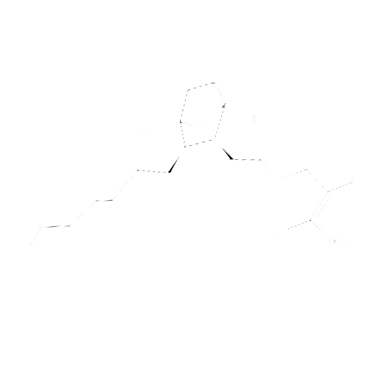 CCCCC(C)=C(CC)CSCC[C@H]1[C@@H](CCCCCCC(=O)O)[C@H]2CC[C@@H]1O2